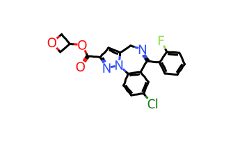 O=C(OC1COC1)c1cc2n(n1)-c1ccc(Cl)cc1C(c1ccccc1F)=NC2